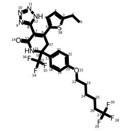 CCc1ccc(C2=C(c3nnn[nH]3)C(=O)NC(c3ccc(OCCCCCC(F)(F)F)cc3)(C(F)(F)F)C2)s1